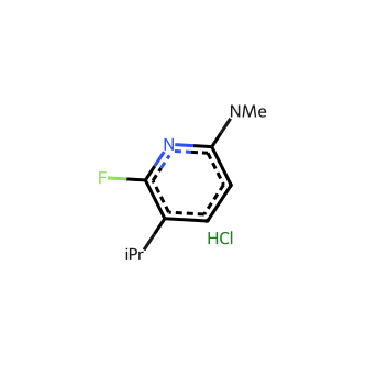 CNc1ccc(C(C)C)c(F)n1.Cl